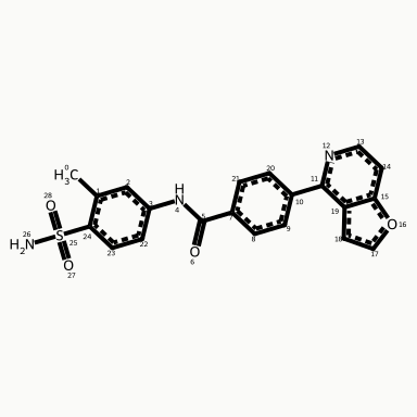 Cc1cc(NC(=O)c2ccc(-c3nccc4occc34)cc2)ccc1S(N)(=O)=O